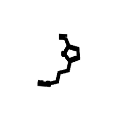 COCCCc1ccc(C#N)o1